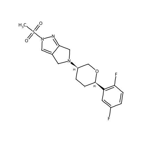 CS(=O)(=O)n1cc2c(n1)CN([C@@H]1C[CH][C@H](c3cc(F)ccc3F)OC1)C2